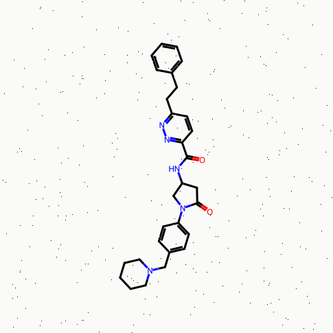 O=C(NC1CC(=O)N(c2ccc(CN3CCCCC3)cc2)C1)c1ccc(CCc2ccccc2)nn1